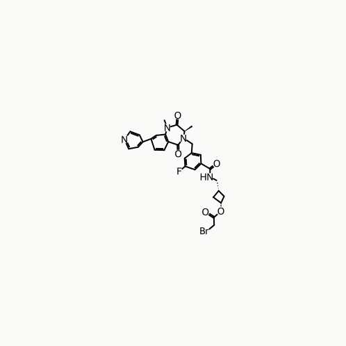 C[C@@H]1C(=O)N(C)c2cc(-c3ccncc3)ccc2C(=O)N1Cc1cc(F)cc(C(=O)NC[C@H]2C[C@@H](OC(=O)CBr)C2)c1